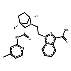 NC(=O)c1nn(CCN2[C@@H]3CC[C@@H](C3)[C@H]2C(=O)Nc2cc(Cl)ccn2)c2ccccc12